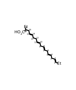 CCC=CCC=CCC=CCC=CCCC=CCC(CC)C(=O)O